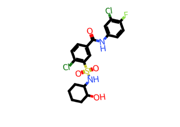 O=C(Nc1ccc(F)c(Cl)c1)c1ccc(Cl)c(S(=O)(=O)NC2CCCCC2O)c1